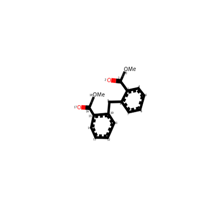 COC(=O)c1ccccc1[CH]c1ccccc1C(=O)OC